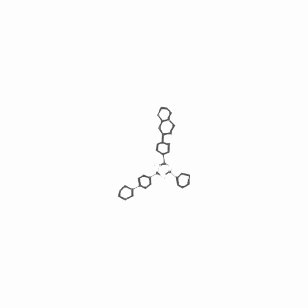 c1ccc(-c2ccc(-c3nc(-c4ccccc4)nc(-c4ccc5c(c4)oc4cc6ccccc6cc45)n3)cc2)cc1